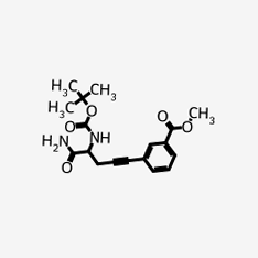 COC(=O)c1cccc(C#CCC(NC(=O)OC(C)(C)C)C(N)=O)c1